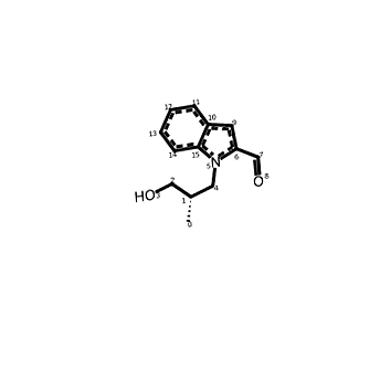 C[C@H](CO)Cn1c(C=O)cc2ccccc21